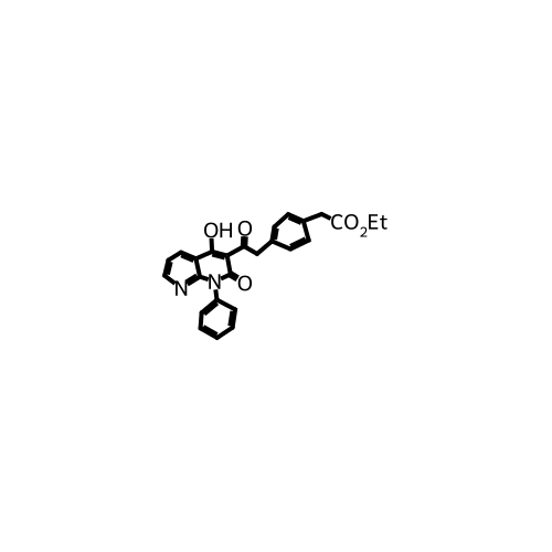 CCOC(=O)Cc1ccc(CC(=O)c2c(O)c3cccnc3n(-c3ccccc3)c2=O)cc1